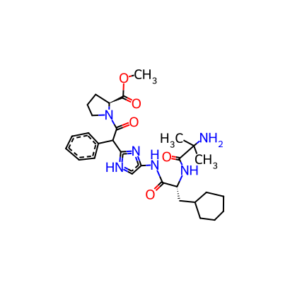 COC(=O)[C@@H]1CCCN1C(=O)C(c1ccccc1)c1nc(NC(=O)[C@@H](CC2CCCCC2)NC(=O)C(C)(C)N)c[nH]1